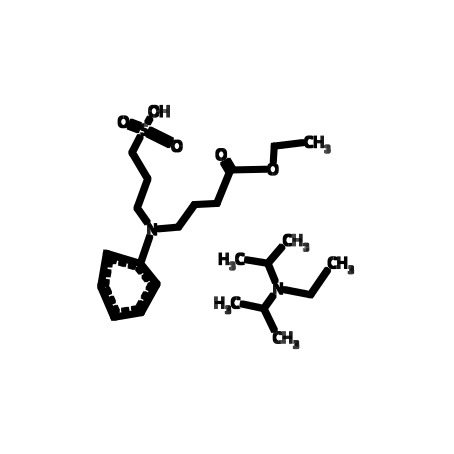 CCN(C(C)C)C(C)C.CCOC(=O)CCCN(CCCS(=O)(=O)O)c1ccccc1